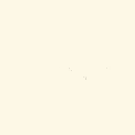 ClCC1CN(C(c2ccccc2)(c2ccccc2)c2ccccc2)C=N1